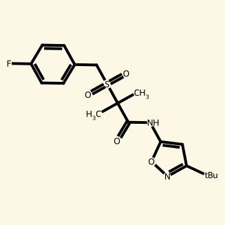 CC(C)(C)c1cc(NC(=O)C(C)(C)S(=O)(=O)Cc2ccc(F)cc2)on1